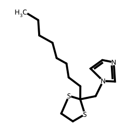 CCCCCCCCC1(Cn2ccnc2)SCCS1